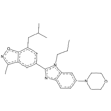 CCCn1c(-c2cc(CC(C)C)c3onc(C)c3c2)nc2ccc(N3CCOCC3)cc21